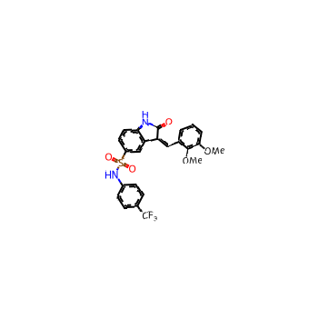 COc1cccc(C=C2C(=O)Nc3ccc(S(=O)(=O)Nc4ccc(C(F)(F)F)cc4)cc32)c1OC